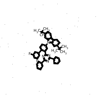 CC(C)(C)c1ccc2c3ccc(C(C)(C)C)cc3n(-c3ccc(-c4cc(F)cc(F)c4)c(-c4nc(-c5ccccc5)nc(-c5ccccc5)n4)c3)c2c1